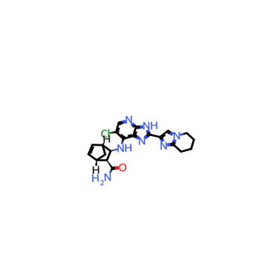 NC(=O)[C@@H]1[C@H](Nc2c(Cl)cnc3[nH]c(-c4cn5c(n4)CCCC5)nc23)[C@H]2C=C[C@@H]1C2